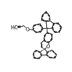 C#CCOc1ccc(C2(c3ccc4c(c3)C=CC3(O4)c4ccccc4-c4ccccc43)c3ccccc3-c3ccccc32)cc1